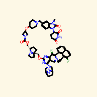 C#Cc1c(F)ccc2cccc(-c3ncc4c(N5CC6CCC(C5)N6)nc(OC[C@@]56CCCN5[C@H](COC(=O)N5CC(OC7CCN(Cc8ccc9c(c8)n(C)c(=O)n9C8CCC(=O)NC8=O)CC7)C5)CC6)nc4c3F)c12